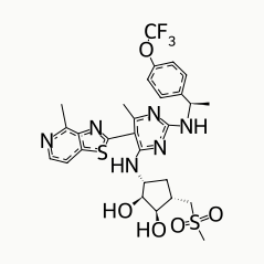 Cc1nc(N[C@H](C)c2ccc(OC(F)(F)F)cc2)nc(N[C@@H]2C[C@H](CS(C)(=O)=O)[C@@H](O)[C@H]2O)c1-c1nc2c(C)nccc2s1